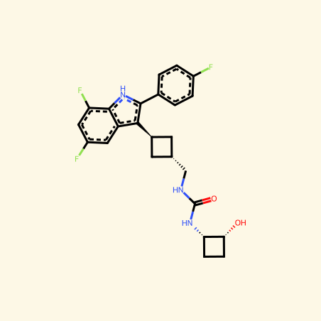 O=C(NC[C@H]1C[C@H](c2c(-c3ccc(F)cc3)[nH]c3c(F)cc(F)cc32)C1)N[C@H]1CC[C@H]1O